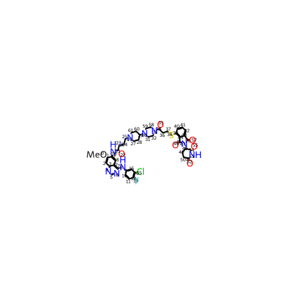 COc1cc2ncnc(Nc3ccc(F)c(Cl)c3)c2cc1NC(=O)/C=C/CN1CCC(N2CCN(C(=O)CCSc3cccc4c3C(=O)N(C3CCC(=O)NC3=O)C4=O)CC2)CC1